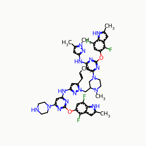 C/C=C/c1cc(Nc2cc(N3CCNCC3)nc(Oc3cc(F)c4[nH]c(C)cc4c3F)n2)nn1CC1CN(c2cc(Nc3cc(C)n(C)n3)nc(Oc3cc(F)c4[nH]c(C)cc4c3F)n2)CCN1C